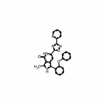 Cc1[nH]c(-c2ccccc2Oc2ccccc2)c2cc(-c3nc(-c4ccccn4)no3)[nH]c(=O)c12